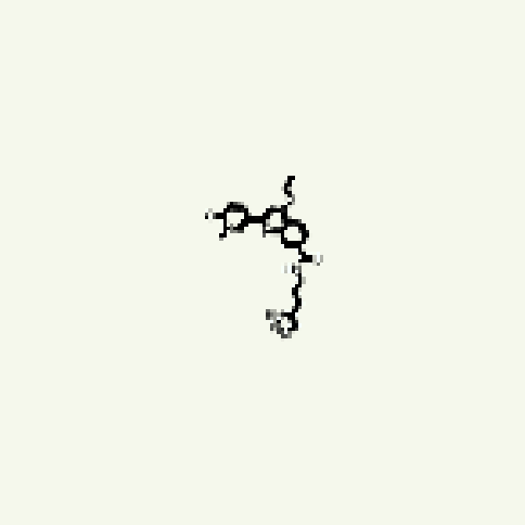 CCOc1cc(-c2ccc(=O)n(C)c2)nc2cc(C(=O)NCCCc3cnn[nH]3)ccc12